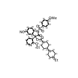 CCOc1ncccc1C1(OC(=O)N2CCC(N3CCN(CC)CC3)CC2)C(=O)N(S(=O)(=O)c2ccc(OC)cc2)c2ccc(C#N)cc21